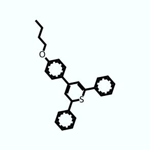 CCCCOc1ccc(C2=CC(c3ccccc3)SC(c3ccccc3)=C2)cc1